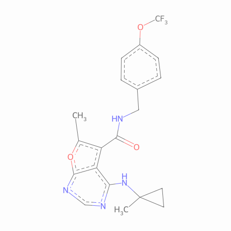 Cc1oc2ncnc(NC3(C)CC3)c2c1C(=O)NCc1ccc(OC(F)(F)F)cc1